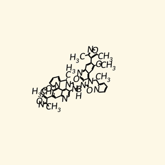 COc1cc2c(cc1-c1c(C)noc1C)ncc1c2n([C@H](C)c2ccccn2)c(=O)n1Bn1c(=O)n([C@H](C)c2ccccn2)c2c3cc(OC)c(-c4c(C)noc4C)cc3ncc21